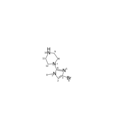 Cn1cc(Br)nc1N1CCNCC1